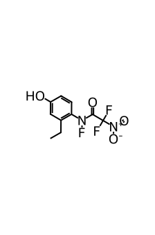 CCc1cc(O)ccc1N(F)C(=O)C(F)(F)[N+](=O)[O-]